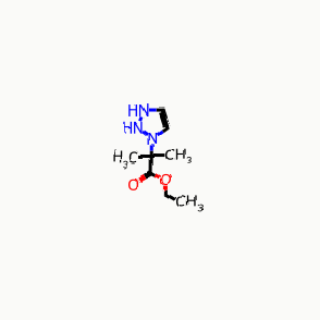 CCOC(=O)C(C)(C)N1C=CNN1